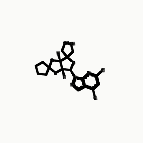 OCC1(CO)O[C@@H](n2ncc3c(Cl)cc(Cl)nc32)[C@@H]2OC3(CCCC3)O[C@@H]21